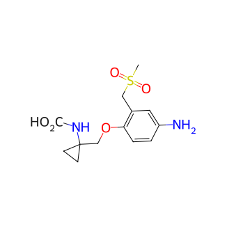 CS(=O)(=O)Cc1cc(N)ccc1OCC1(NC(=O)O)CC1